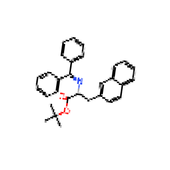 CC(C)(C)OC(=O)C(Cc1ccc2ccccc2c1)N=C(c1ccccc1)c1ccccc1